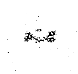 CN(CC=CN(C)c1nc2ccccc2n1Cc1ccc(F)cc1)C(=O)NCc1cc(C(F)(F)F)cc(C(F)(F)F)c1.Cl